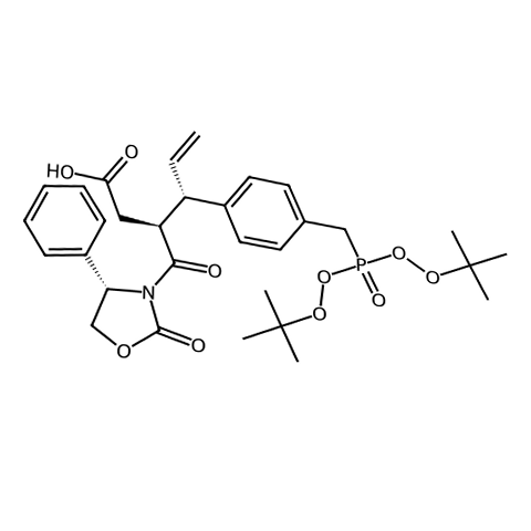 C=C[C@H](c1ccc(CP(=O)(OOC(C)(C)C)OOC(C)(C)C)cc1)[C@H](CC(=O)O)C(=O)N1C(=O)OC[C@@H]1c1ccccc1